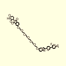 CN(C)c1ccc(-c2ccc(-c3cn4cc(OCCOCCOCCOCCOCCOCCOc5ccc6c(c5)C(=O)N(C5CCC(=O)NC5=O)C6=O)ccc4n3)nc2)c(F)n1